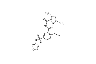 CCOc1ccc(S(=O)(=O)Nc2ccon2)cc1-c1nn2c(C)nc(C)c2c(=O)[nH]1